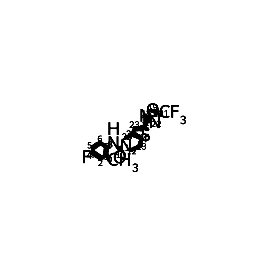 Cc1cc(F)ccc1NC(=O)N1CCc2sc(-c3noc(C(F)(F)F)n3)cc2C1